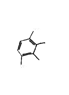 CNc1ccc(NC)c(C)c1C